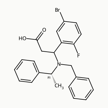 C[C@H](c1ccccc1)N(Cc1ccccc1)C(CC(=O)O)c1cc(Br)ccc1F